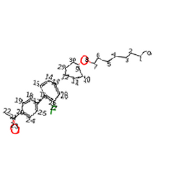 CCCCCCCCO[C@H]1CC[C@H](c2ccc(-c3ccc(C(C)=O)cc3)c(F)c2)CC1